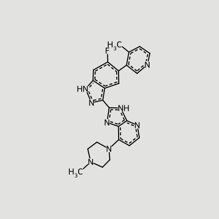 Cc1ccncc1-c1cc2c(-c3nc4c(N5CCN(C)CC5)ccnc4[nH]3)n[nH]c2cc1F